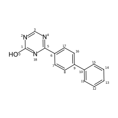 Oc1ncnc(-c2ccc(-c3ccccc3)cc2)n1